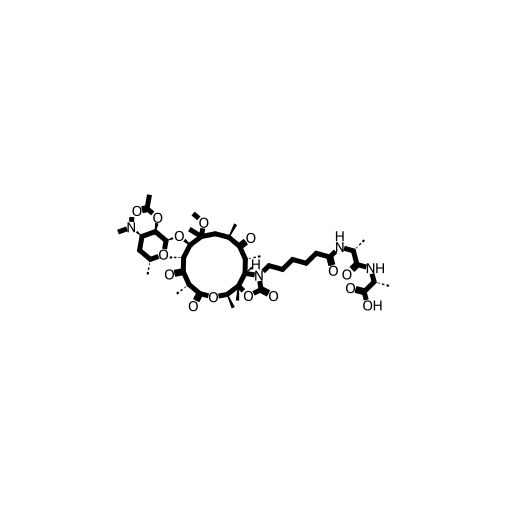 COC1(C)C[C@@H](C)C(=O)[C@H](C)[C@H]2N(CCCCCC(=O)N[C@H](C)C(=O)N[C@H](C)C(=O)O)C(=O)O[C@]2(C)[C@@H](C)OC(=O)[C@H](C)C(=O)[C@H](C)[C@H]1O[C@@H]1O[C@H](C)C[C@H](N(C)C)[C@H]1OC(C)=O